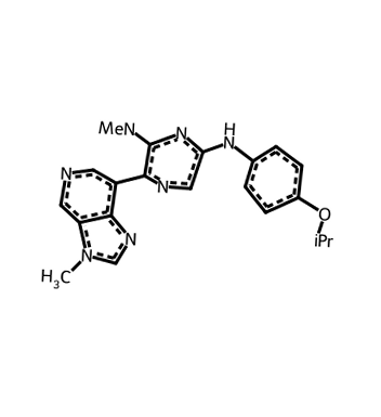 CNc1nc(Nc2ccc(OC(C)C)cc2)cnc1-c1cncc2c1ncn2C